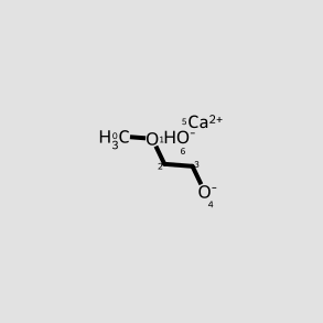 COCC[O-].[Ca+2].[OH-]